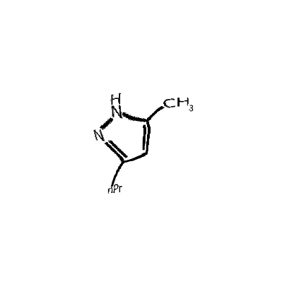 [CH2]CCc1cc(C)[nH]n1